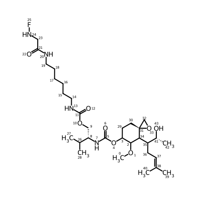 COC1C(OC(=O)N[C@@H](COC(=O)NCCCCCCNC(=O)CNF)C(C)C)CC[C@]2(CO2)C1C(CC=C(C)C)[C@@H](C)O